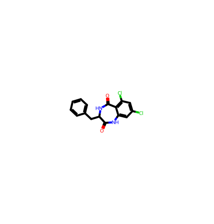 O=C1NC(Cc2ccccc2)C(=O)Nc2cc(Cl)cc(Cl)c21